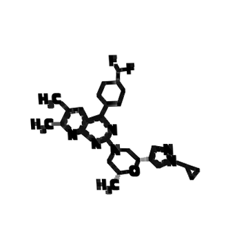 Cc1cc2c(C3=CCC(C(F)F)CC3)nc(N3C[C@@H](C)O[C@@H](c4cnn(C5CC5)c4)C3)nc2nc1C